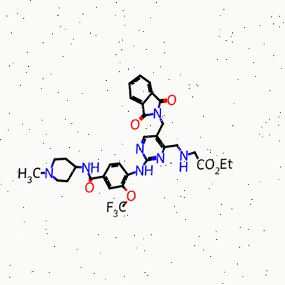 CCOC(=O)CNCc1nc(Nc2ccc(C(=O)NC3CCN(C)CC3)cc2OC(F)(F)F)ncc1CN1C(=O)c2ccccc2C1=O